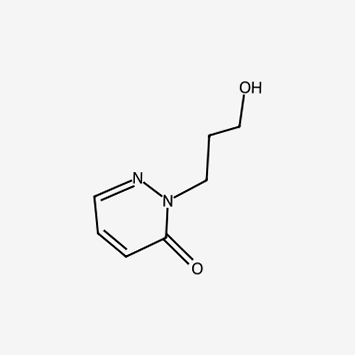 O=c1cccnn1CCCO